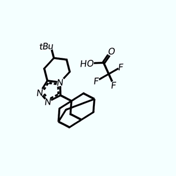 CC(C)(C)C1CCn2c(nnc2C23CC4CC(CC(C4)C2)C3)C1.O=C(O)C(F)(F)F